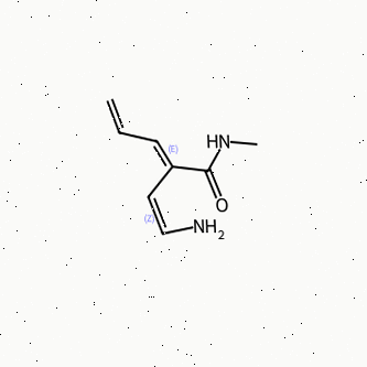 C=C/C=C(\C=C/N)C(=O)NC